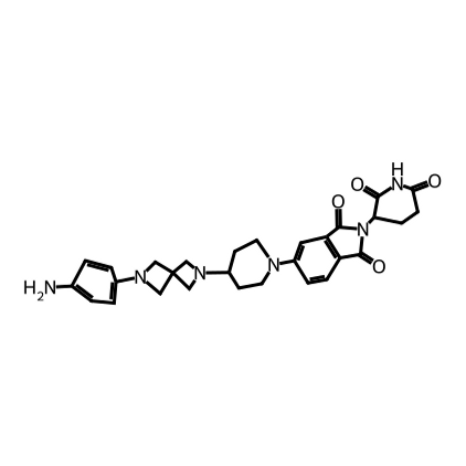 Nc1ccc(N2CC3(C2)CN(C2CCN(c4ccc5c(c4)C(=O)N(C4CCC(=O)NC4=O)C5=O)CC2)C3)cc1